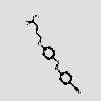 N#Cc1ccc(N=Nc2ccc(OCCCC(=O)O)cc2)cc1